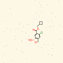 O=C(OCC1CCC1)c1cc2c(cc1Cl)COB2O